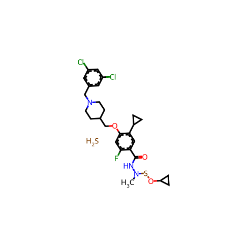 CN(NC(=O)c1cc(C2CC2)c(OCC2CCN(Cc3cc(Cl)cc(Cl)c3)CC2)cc1F)SOC1CC1.S